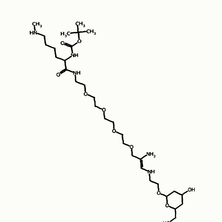 CNCCCCC(NC(=O)OC(C)(C)C)C(=O)NCCOCCOCCOCCOC/C(N)=C/NCCOC1CC(O)CC(CO)O1